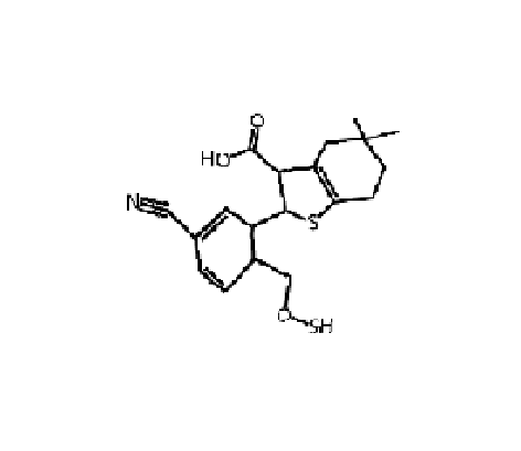 CC1(C)CCC2=C(C1)C(C(=O)O)C(C1C=C(C#N)C=CC1COS)S2